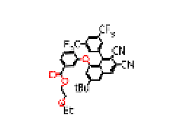 CCOCCOC(=O)c1cccc(Oc2cc(C(C)(C)C)cc3cc(C#N)c(C#N)c(-c4cc(C(F)(F)F)cc(C(F)(F)F)c4)c23)c1